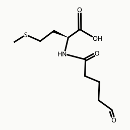 CSCC[C@H](NC(=O)CCCC=O)C(=O)O